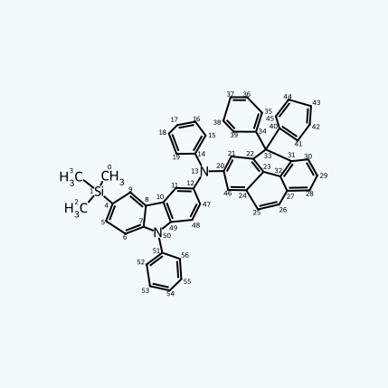 C[Si](C)(C)c1ccc2c(c1)c1cc(N(c3ccccc3)c3cc4c5c(ccc6cccc(c65)C4(c4ccccc4)c4ccccc4)c3)ccc1n2-c1ccccc1